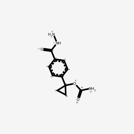 NNC(=O)c1ccc(C2(OC(N)=O)CC2)cc1